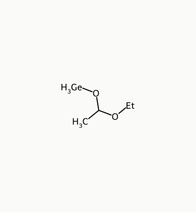 CCOC(C)[O][GeH3]